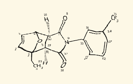 CC12C=CC(O1)[C@H]1C(=O)N(c3cccc(C(F)(F)F)c3)C(=O)[C@H]12